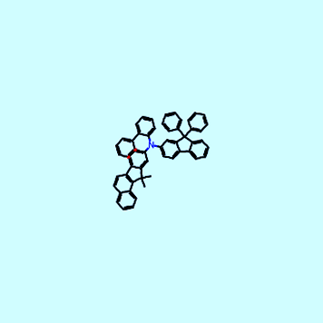 CC1(C)c2cc(N(c3ccc4c(c3)C(c3ccccc3)(c3ccccc3)c3ccccc3-4)c3ccccc3-c3ccccc3)ccc2-c2ccc3ccccc3c21